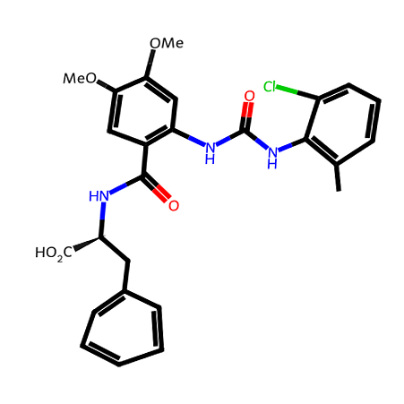 COc1cc(NC(=O)Nc2c(C)cccc2Cl)c(C(=O)N[C@@H](Cc2ccccc2)C(=O)O)cc1OC